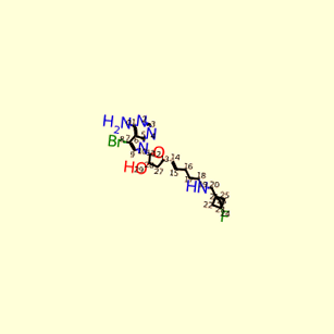 Nc1ncnc2c1c(Br)cn2[C@@H]1O[C@H](/C=C/CCCNCC23CC(F)(C2)C3)C[C@H]1O